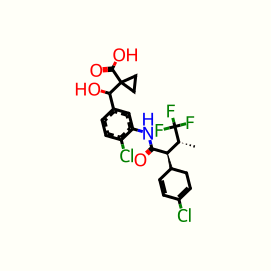 C[C@H]([C@H](C(=O)Nc1cc(C(O)C2(C(=O)O)CC2)ccc1Cl)C1C=CC(Cl)=CC1)C(F)(F)F